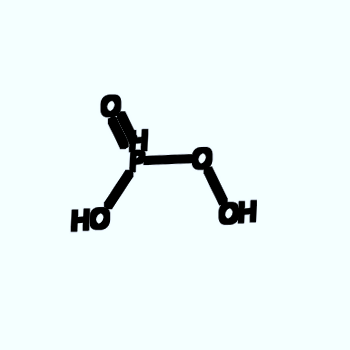 O=[PH](O)OO